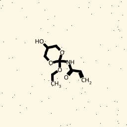 C=CC(=O)NC1(OCC)OCC(O)CO1